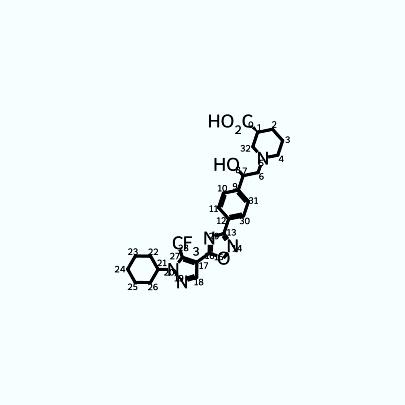 O=C(O)[C@H]1CCCN(CC(O)c2ccc(-c3noc(-c4cnn(C5CCCCC5)c4C(F)(F)F)n3)cc2)C1